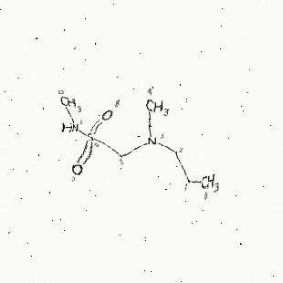 CCCN(C)CS(=O)(=O)NC